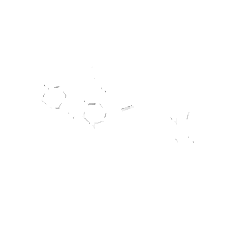 C[C@@H](C(=O)NCCCC#Cc1cnc(Nc2ccnc(F)c2)nc1NC1CC1)N(C)C(=O)OC(C)(C)C